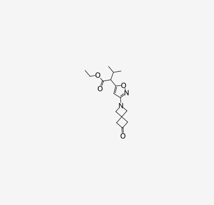 CCOC(=O)C(c1cc(N2CC3(CC(=O)C3)C2)no1)C(C)C